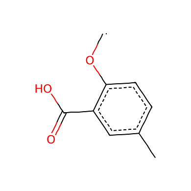 [CH2]Oc1ccc(C)cc1C(=O)O